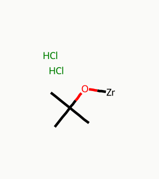 CC(C)(C)[O][Zr].Cl.Cl